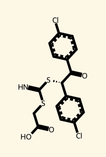 N=C(SCC(=O)O)S[C@H](C(=O)c1ccc(Cl)cc1)c1ccc(Cl)cc1